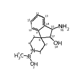 CB(O)N1CCC2(CC1)c1ccccc1C(N)C2O